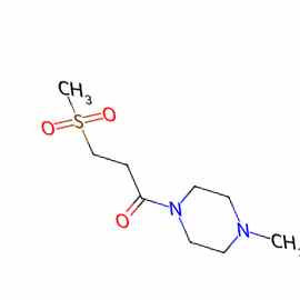 CN1CCN(C(=O)CCS(C)(=O)=O)CC1